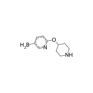 Bc1ccc(OC2CCNCC2)nc1